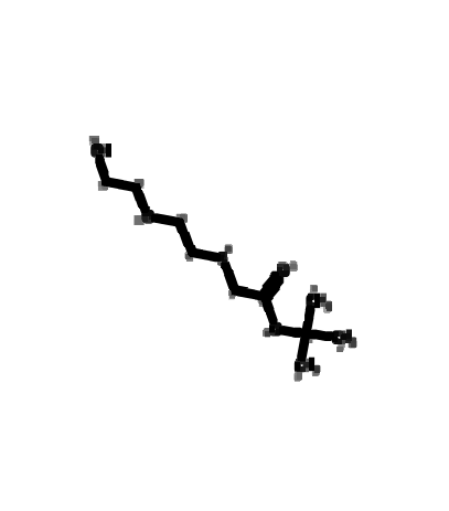 CC(C)(C)OC(=O)CSCCOCCO